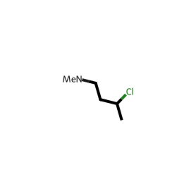 CNCCC(C)Cl